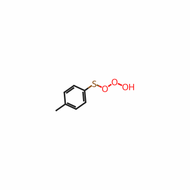 Cc1ccc(SOOO)cc1